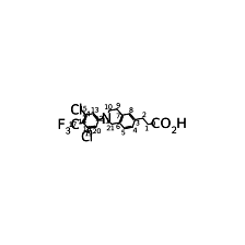 O=C(O)CCc1ccc2c(c1)CCN(c1cc(Cl)c(C(F)(F)F)c(Cl)c1)C2